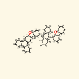 c1ccc2c(c1)oc1c(-c3c4ccccc4c(-c4ccc5oc6cc7c8ccccc8c8ccccc8c7cc6c5c4)c4ccccc34)cccc12